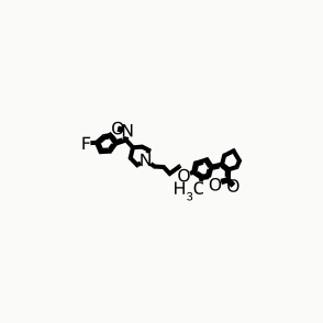 Cc1c(OCCCCN2CCC(c3noc4cc(F)ccc34)CC2)ccc2c3c(c(=O)oc12)CCCC3